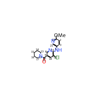 COc1ccc(Nc2ncc(C(=O)N3CCCCC3)cc2Cl)cn1